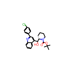 CC(C)(C)OC(=O)N1CCCC[C@H]1[C@@H](O)c1cc(-c2ccc(Cl)cc2)nc2ccccc12